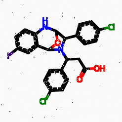 O=C(O)CC(c1ccc(Cl)cc1)N1C2OC(Nc3ccc(I)cc32)C1c1ccc(Cl)cc1